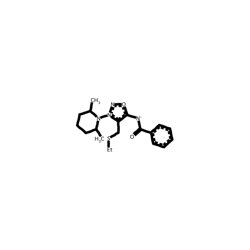 CCSCc1c([N-]C(=O)c2ccccc2)on[n+]1N1C(C)CCCC1C